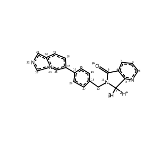 [2H]C1([2H])c2ncccc2C(=O)N1Cc1ccc(-c2ccc3cncn3c2)cc1